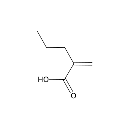 C=C(CCC)C(=O)O